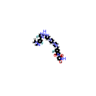 Cc1nc2c(F)cc(-c3nc(Nc4ccc(N5CCC(N6CCN(Cc7cc(F)c8c(c7)CN(C7CCC(=O)NC7=O)C8=O)CC6)CC5)cn4)ncc3F)cc2n1C(C)C